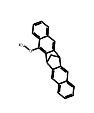 CC(C)(C)Oc1c2c(cc3ccccc13)C1CC2c2cc3ccccc3cc21